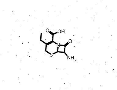 CCC1=C(C(=O)O)N2C(=O)C(N)C2SC1